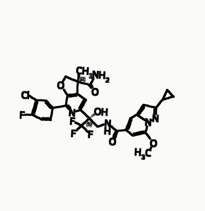 COc1cc(C(=O)NC[C@](O)(c2cc3c(c(-c4ccc(F)c(Cl)c4)n2)OC[C@]3(C)C(N)=O)C(F)(F)F)cc2cc(C3CC3)nn12